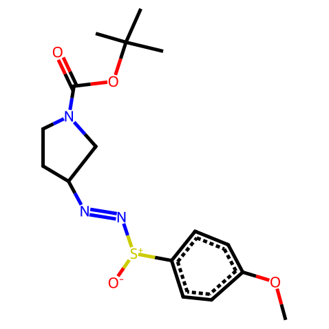 COc1ccc([S+]([O-])/N=N/C2CCN(C(=O)OC(C)(C)C)C2)cc1